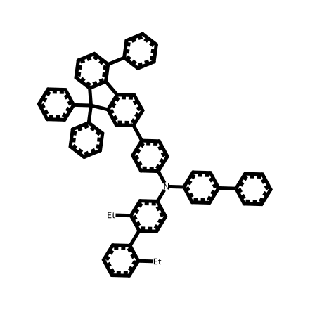 CCc1ccccc1-c1ccc(N(c2ccc(-c3ccccc3)cc2)c2ccc(-c3ccc4c(c3)C(c3ccccc3)(c3ccccc3)c3cccc(-c5ccccc5)c3-4)cc2)cc1CC